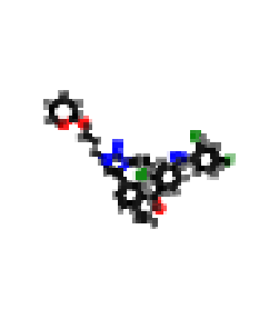 Cc1ccc(C2=CN(CCCOC3CCCCO3)NN2C)cc1C(=O)c1ccc(Nc2ccc(F)cc2F)cc1Cl